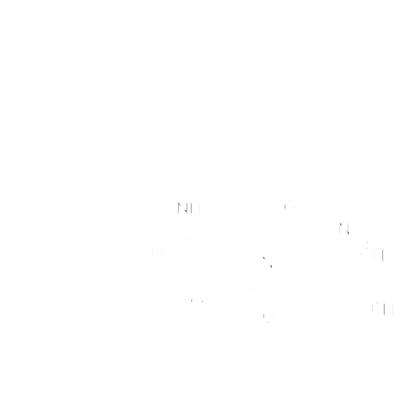 CC(C)CC(C(N)=O)N1CC(C(=O)NC2CCC(c3ccccc3)CC2)=C(O)C1=O